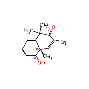 CC1(C)C(=O)C(C#N)=C[C@@]2(C)C1CCC[C@@H]2O